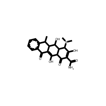 CC1c2ccccc2C(=O)C2=C(O)C3C(=O)C(C(N)=O)=C(O)C(N(C)C)C3C(O)C21